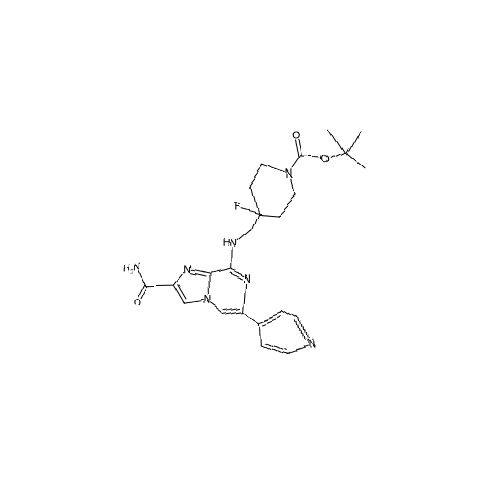 CC(C)(C)OC(=O)N1CCC(F)(CNc2nc(-c3ccncc3)cn3cc(C(N)=O)nc23)CC1